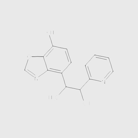 Cc1ccc(C(C)C(C)c2ccccn2)c2ncoc12